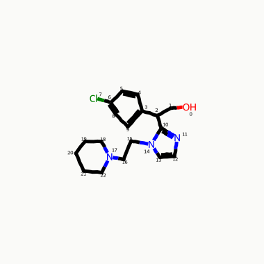 OCC(c1ccc(Cl)cc1)c1nccn1CCN1CCCCC1